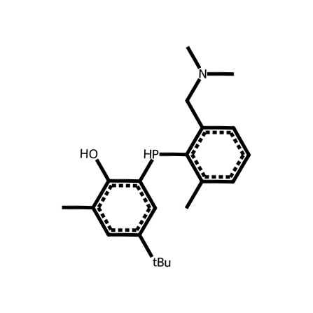 Cc1cc(C(C)(C)C)cc(Pc2c(C)cccc2CN(C)C)c1O